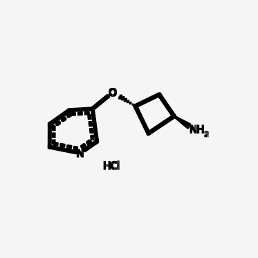 Cl.N[C@H]1C[C@H](Oc2cccnc2)C1